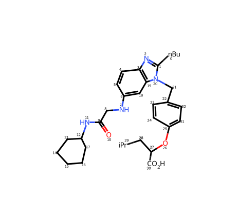 CCCCc1nc2ccc(NCC(=O)NC3CCCCC3)cc2n1Cc1ccc(OC(CC(C)C)C(=O)O)cc1